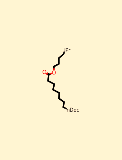 CCCCCCCCCCCCCCCCCC(=O)OCCCCC(C)C